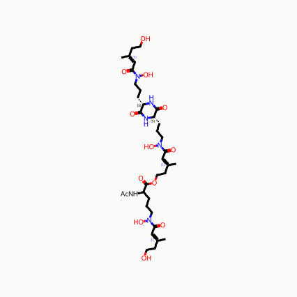 CC(=O)NC(CCCN(O)C(=O)/C=C(\C)CCO)C(=O)OCC/C(C)=C/C(=O)N(O)CCC[C@@H]1NC(=O)[C@H](CCCN(O)C(=O)/C=C(\C)CCO)NC1=O